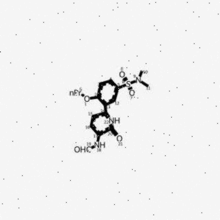 CCCOc1ccc(S(=O)(=O)N(C)C)cc1-c1ccc(NC=O)c(=O)[nH]1